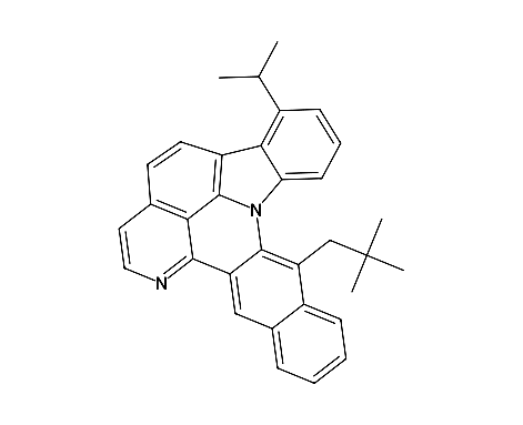 CC(C)c1cccc2c1c1ccc3ccnc4c5cc6ccccc6c(CC(C)(C)C)c5n2c1c34